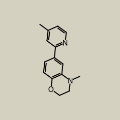 Cc1ccnc(-c2ccc3c(c2)N(C)CCO3)c1